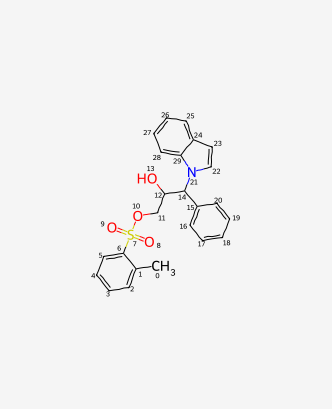 Cc1ccccc1S(=O)(=O)OCC(O)C(c1ccccc1)n1ccc2ccccc21